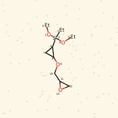 CCO[Si](CC)(OCC)C1CC1OCC1CO1